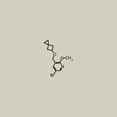 COc1ncc(Br)cc1COC1CC2(CC2)C1